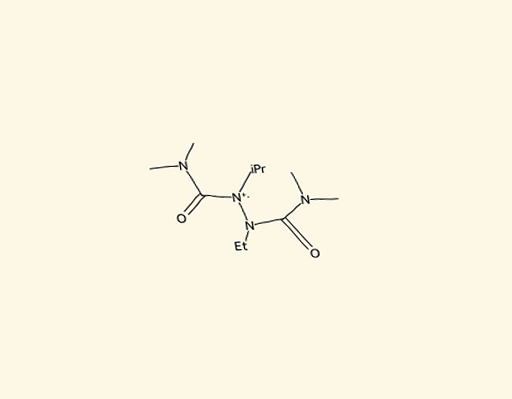 CCN(C(=O)N(C)C)[N+](C(=O)N(C)C)C(C)C